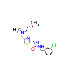 COCCN(C)Cc1csc(NC(=O)NCc2cccc(Cl)c2)n1